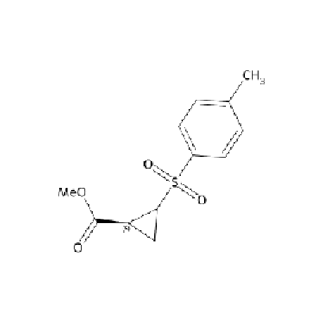 COC(=O)[C@@H]1CC1S(=O)(=O)c1ccc(C)cc1